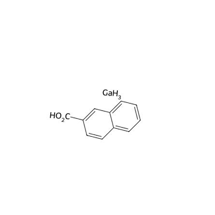 O=C(O)c1ccc2ccccc2c1.[GaH3]